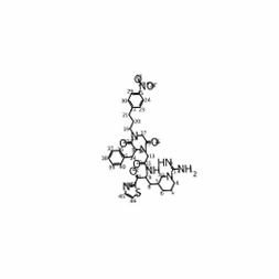 N=C(N)N1CCCC(CC(NC(=O)CN2C(=O)CN(CCCc3ccc([N+](=O)[O-])cc3)C(=O)C2Cc2ccccc2)C(=O)c2nccs2)C1